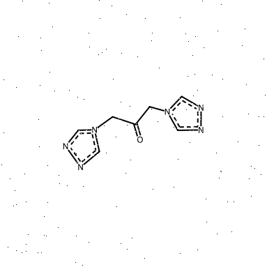 O=C(Cn1cnnc1)Cn1cnnc1